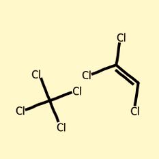 ClC(Cl)(Cl)Cl.ClC=C(Cl)Cl